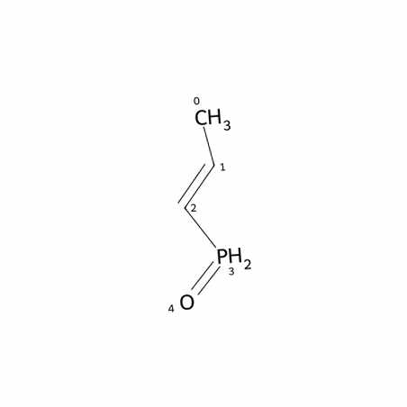 CC=C[PH2]=O